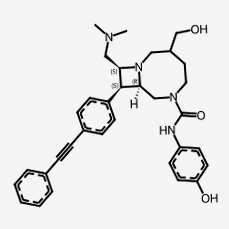 CN(C)C[C@@H]1[C@H](c2ccc(C#Cc3ccccc3)cc2)[C@@H]2CN(C(=O)Nc3ccc(O)cc3)CCC(CO)CN12